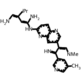 CN/C=C(\C(=N)c1cncc(C)c1)c1cnc2ccc(N/C(N)=C/C(=C\N)C(C)C)nc2c1